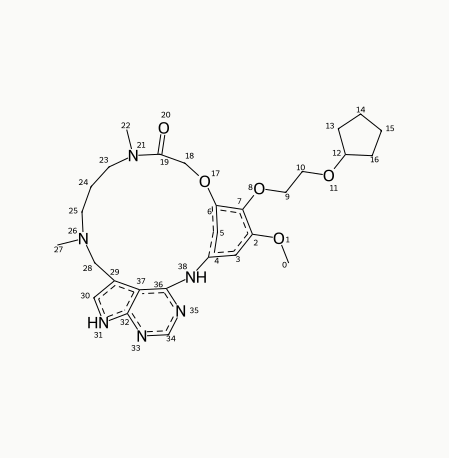 COc1cc2cc(c1OCCOC1CCCC1)OCC(=O)N(C)CCCN(C)Cc1c[nH]c3ncnc(c13)N2